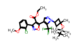 CCOC(=O)c1c(-c2cccc(OC)c2Cl)noc1-c1cnn(C2CC(C)(O[Si](C)(C)C(C)(C)C)C2)c1C(F)(F)F